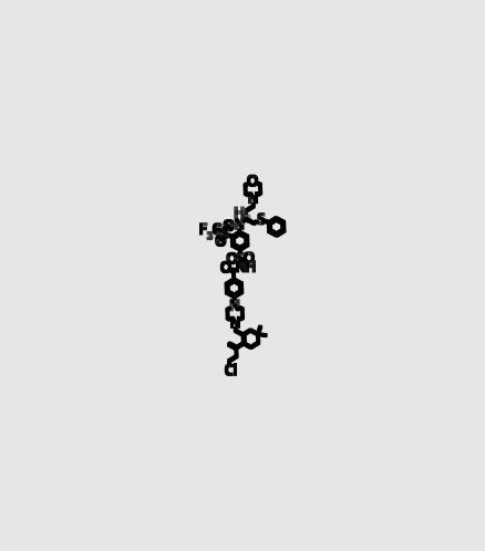 C=C(CCCl)C1=C(CN2CCN(c3ccc(C(=O)NS(=O)(=O)c4ccc(N[C@H](CCN5CCOCC5)CSc5ccccc5)c(S(=O)(=O)C(F)(F)F)c4)cc3)CC2)CC(C)(C)CC1